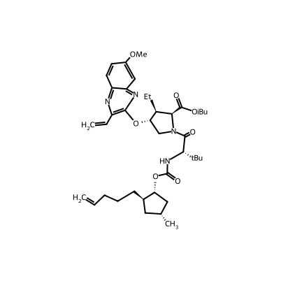 C=CCCC[C@@H]1C[C@@H](C)C[C@H]1OC(=O)N[C@H](C(=O)N1C[C@H](Oc2nc3cc(OC)ccc3nc2C=C)[C@@H](CC)[C@H]1C(=O)OCC(C)C)C(C)(C)C